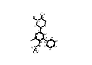 Cc1cc(C2CCC(=O)N(C)C2)cc(-c2ccccc2)c1CNC#N